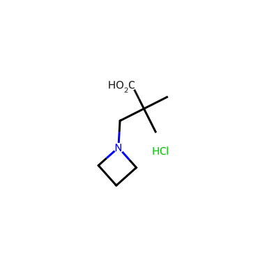 CC(C)(CN1CCC1)C(=O)O.Cl